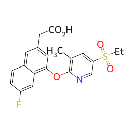 CCS(=O)(=O)c1cnc(Oc2cc(CC(=O)O)cc3ccc(F)cc23)c(C)c1